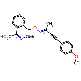 CO/N=C(/C(=O)O)c1ccccc1CO/N=C(\C)C#Cc1ccc(OC(F)(F)F)cc1